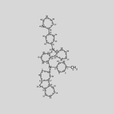 Cc1ccc(N(c2ccc3sc4ccccc4c3c2)c2cccc3c2c2ccccc2n3-c2ccc(-c3ccccn3)cc2)cc1